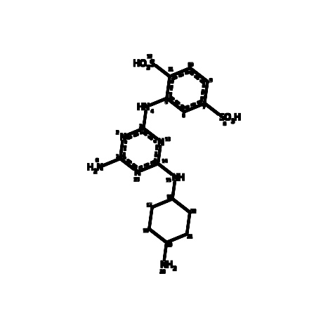 Nc1nc(Nc2cc(S(=O)(=O)O)ccc2S(=O)(=O)O)nc(NC2CCC(N)CC2)n1